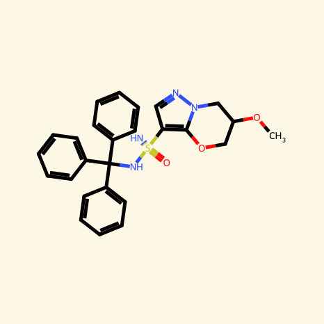 COC1COc2c(S(=N)(=O)NC(c3ccccc3)(c3ccccc3)c3ccccc3)cnn2C1